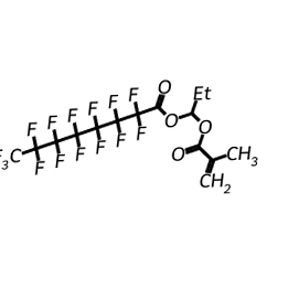 C=C(C)C(=O)OC(CC)OC(=O)C(F)(F)C(F)(F)C(F)(F)C(F)(F)C(F)(F)C(F)(F)C(F)(F)F